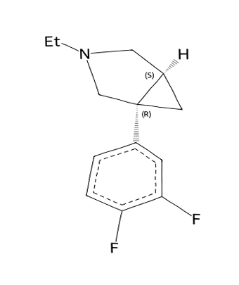 CCN1C[C@H]2C[C@@]2(c2ccc(F)c(F)c2)C1